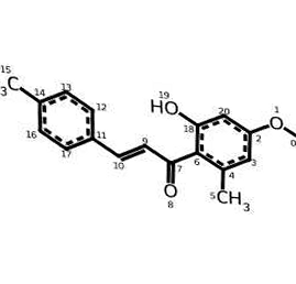 CCOc1cc(C)c(C(=O)C=Cc2ccc(C)cc2)c(O)c1